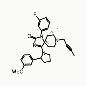 CC#CCN1CC[C@@]2(C[C@@H]1C)C(N1CCCC1c1cccc(OC)c1)=NC(=O)N2c1cccc(F)c1